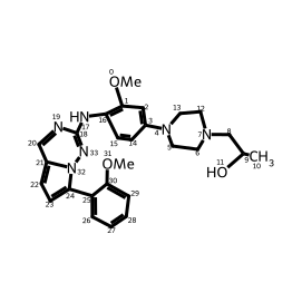 COc1cc(N2CCN(CC(C)O)CC2)ccc1Nc1ncc2ccc(-c3ccccc3OC)n2n1